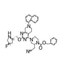 N#CCC1CN(c2nc(OC[C@@H]3C[C@@H](F)CN3)nc3c2CCN(c2cccc4ccccc24)C3)CCN1C(=O)OCc1ccccc1